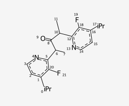 CC(C)c1ccnc(C(C)C(=O)C(C)c2nccc(C(C)C)c2F)c1F